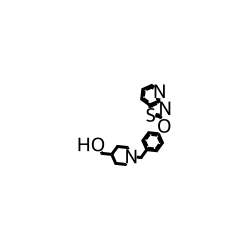 OCC1CCN(Cc2ccc(Oc3nc4ncccc4s3)cc2)CC1